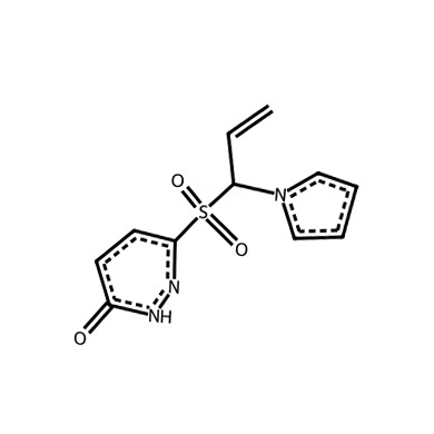 C=CC(n1cccc1)S(=O)(=O)c1ccc(=O)[nH]n1